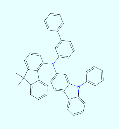 CC1(C)c2ccccc2-c2c(N(c3cccc(-c4ccccc4)c3)c3ccc4c5ccccc5n(-c5ccccc5)c4c3)cccc21